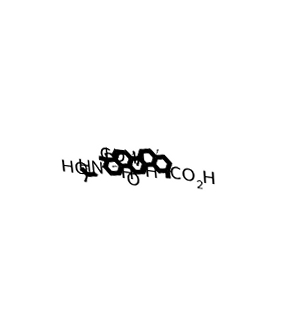 C[C@@H](O)CN[C@H]1CC[C@@]2(C)[C@@H](CC[C@]3(C)[C@@H]2C(=O)C=C2[C@@H]4C[C@@](C)(C(=O)O)CC[C@]4(C)CC[C@]23C)[C@]1(C)C(=O)O